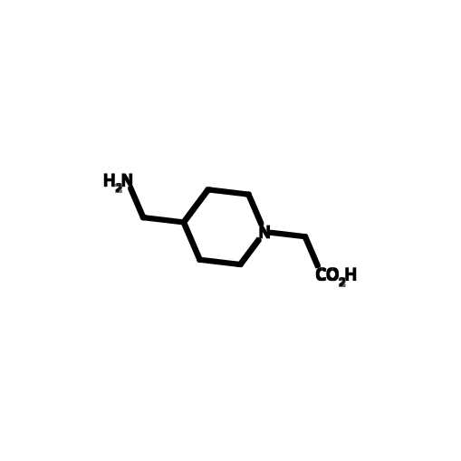 NCC1CCN(CC(=O)O)CC1